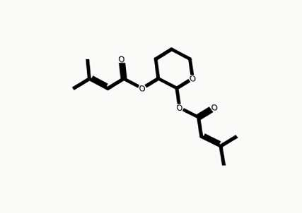 CC(C)=CC(=O)OC1CCCOC1OC(=O)C=C(C)C